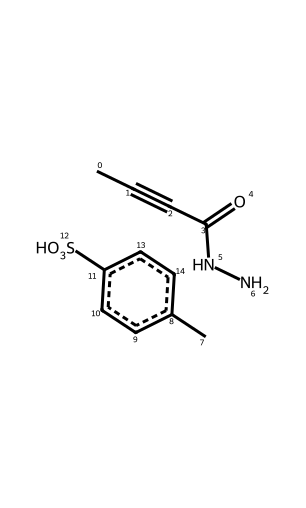 CC#CC(=O)NN.Cc1ccc(S(=O)(=O)O)cc1